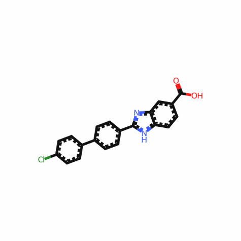 O=C(O)c1ccc2[nH]c(-c3ccc(-c4ccc(Cl)cc4)cc3)nc2c1